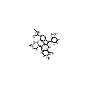 CNC(=O)c1ccc2c(-c3ccccc3)c(Cc3cccc(F)c3C)c(C(=O)N3CCNCC3)n2c1.Cl